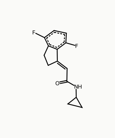 O=C(/C=C1\CCc2c(F)ccc(F)c21)NC1CC1